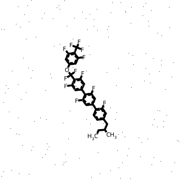 CCC(C)Cc1ccc(-c2cc(F)c(-c3cc(F)c(C(F)(F)Oc4cc(F)c(C(F)(F)F)c(F)c4)c(F)c3)c(F)c2)c(F)c1